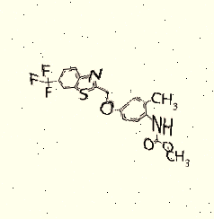 COC(=O)Nc1ccc(OCc2nc3ccc(C(F)(F)F)cc3s2)cc1C